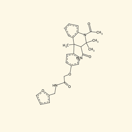 CC(=O)N1c2cc[c]cc2C(C)(c2ccc(OCC(=O)NCc3ccco3)cc2)C(C(N)=O)C1(C)C